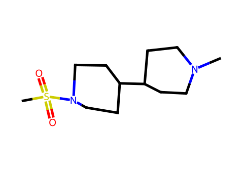 CN1CCC(C2CCN(S(C)(=O)=O)CC2)CC1